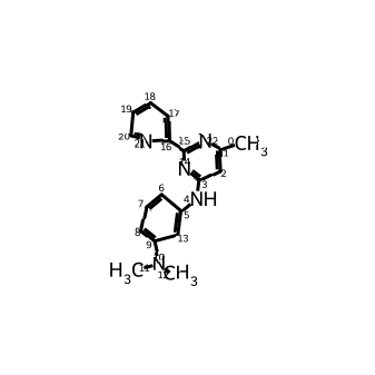 Cc1cc(Nc2cccc(N(C)C)c2)nc(-c2ccccn2)n1